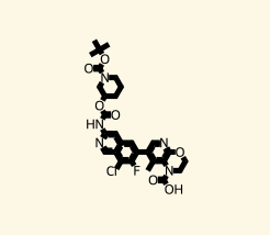 Cc1c(-c2cc3cc(NC(=O)OC4CCCN(C(=O)OC(C)(C)C)C4)ncc3c(Cl)c2F)cnc2c1N(C(=O)O)CCO2